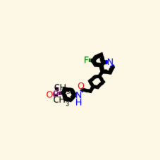 CP(C)(=O)c1ccc(NC(=O)CC2CCC(c3ccnc4ccc(F)cc34)CC2)cc1